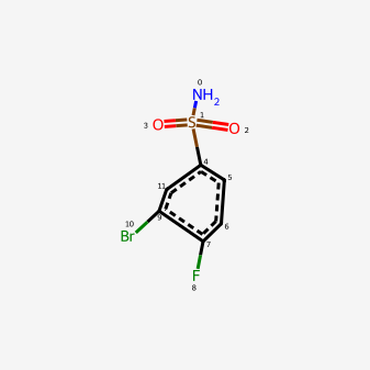 NS(=O)(=O)c1ccc(F)c(Br)c1